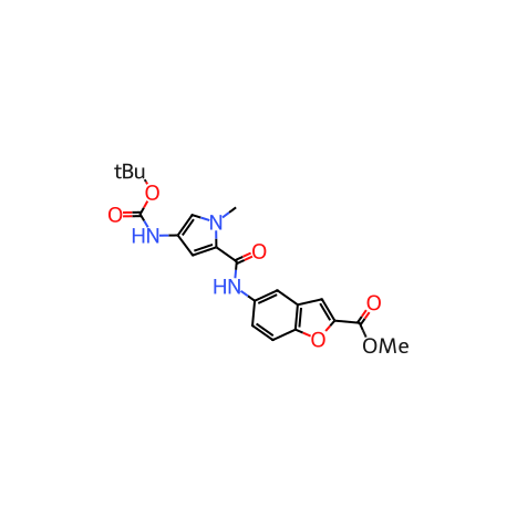 COC(=O)c1cc2cc(NC(=O)c3cc(NC(=O)OC(C)(C)C)cn3C)ccc2o1